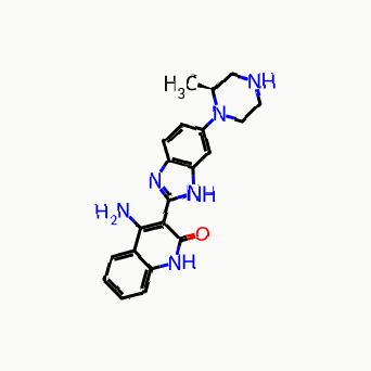 C[C@H]1CNCCN1c1ccc2nc(-c3c(N)c4ccccc4[nH]c3=O)[nH]c2c1